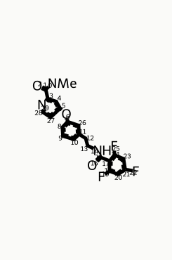 CNC(=O)c1cc(Oc2cccc(CCNC(=O)c3c(F)cc(F)cc3F)c2)ccn1